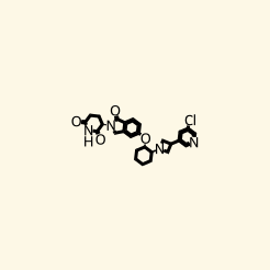 O=C1CC[C@H](N2Cc3cc(O[C@H]4CCCC[C@@H]4N4CC(c5cncc(Cl)c5)C4)ccc3C2=O)C(=O)N1